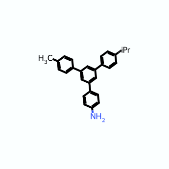 Cc1ccc(-c2cc(-c3ccc(N)cc3)cc(-c3ccc(C(C)C)cc3)c2)cc1